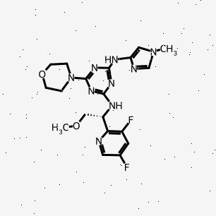 COC[C@H](Nc1nc(Nc2cn(C)cn2)nc(N2CCOCC2)n1)c1ncc(F)cc1F